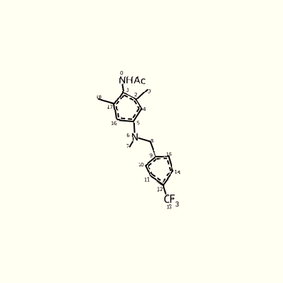 CC(=O)Nc1c(C)cc(N(C)Cc2ccc(C(F)(F)F)cc2)cc1C